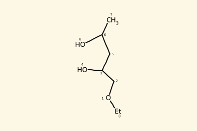 CCOCC(O)CC(C)O